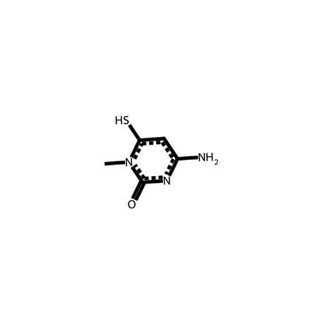 Cn1c(S)cc(N)nc1=O